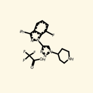 CC(C)c1nn(-c2cn(C3CCNCC3)nn2)c2c(F)cccc12.O=C(O)C(F)(F)F